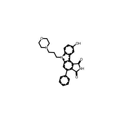 O=C1NC(=O)c2c1c(-c1ccccc1)cc1c2c2cc(O)ccc2n1CCCN1CCOCC1